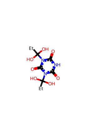 CCC(O)(O)n1c(=O)[nH]c(=O)n(C(O)(O)CC)c1=O